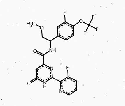 COCC(NC(=O)c1cc(=O)[nH]c(-c2ncccc2F)n1)c1ccc(OC(F)(F)F)c(F)c1